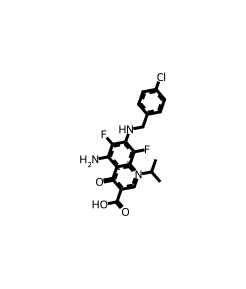 CC(C)n1cc(C(=O)O)c(=O)c2c(N)c(F)c(NCc3ccc(Cl)cc3)c(F)c21